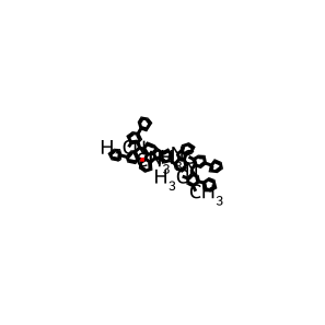 Cc1cc(C)c(N(c2cc(-c3ccccc3)ccc2C)c2ccc3c4cc5c(cc4n4c6ccccc6c2c34)c2ccc(N(c3cc(-c4ccccc4)ccc3C)c3cc(-c4ccccc4)ccc3C)c3c4ccccc4n5c23)cc1-c1ccccc1